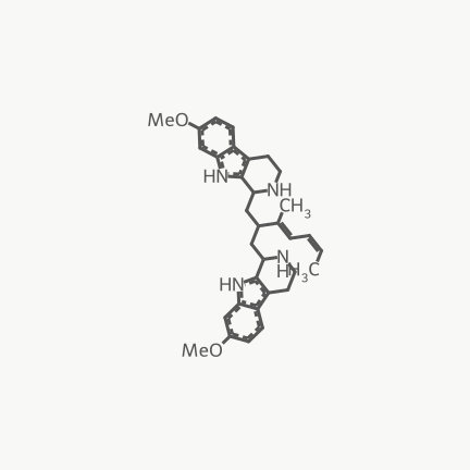 C/C=C\C=C(/C)C(CC1NCCc2c1[nH]c1cc(OC)ccc21)CC1NCCc2c1[nH]c1cc(OC)ccc21